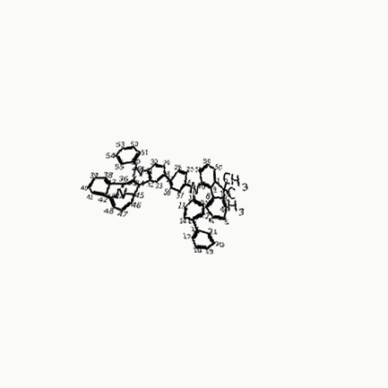 CC1(C)c2ccccc2-c2c(N(c3ccc(-c4ccccc4)cc3)c3ccc(-c4ccc5c(c4)C4C(=c6c7ccccc7c7n6C4C=CC=7)N5c4ccccc4)cc3)cccc21